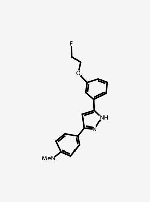 CNc1ccc(-c2cc(-c3cccc(OCCF)c3)[nH]n2)cc1